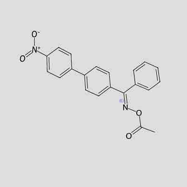 CC(=O)O/N=C(\c1ccccc1)c1ccc(-c2ccc([N+](=O)[O-])cc2)cc1